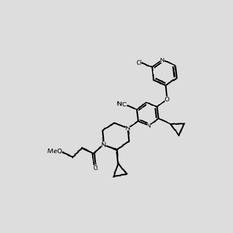 COCCC(=O)N1CCN(c2nc(C3CC3)c(Oc3ccnc(Cl)c3)cc2C#N)CC1C1CC1